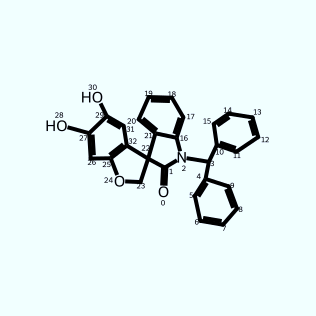 O=C1N(C(c2ccccc2)c2ccccc2)c2ccccc2C12COc1cc(O)c(O)cc12